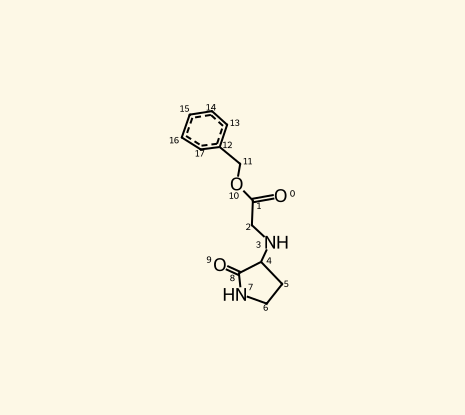 O=C(CNC1CCNC1=O)OCc1ccccc1